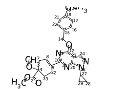 COC(=O)C1(OC)CC=C(c2nc(OCc3ccc(OC)cc3)c3cnn(C4CC4)c3n2)CC1